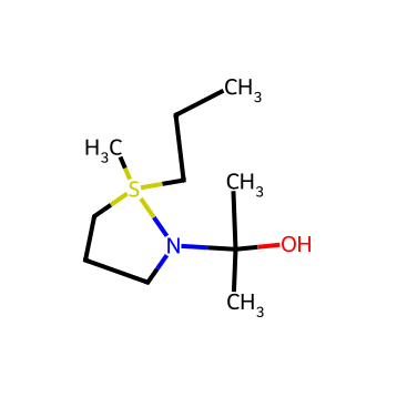 CCCS1(C)CCCN1C(C)(C)O